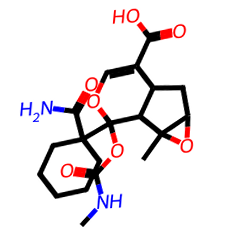 CNC(=O)OC1(C2(C(N)=O)CCCCC2)OC=C(C(=O)O)C2CC3OC3(C)C21